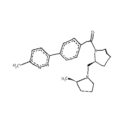 Cc1ccc(-c2ccc(C(=O)N3CCC[C@H]3CN3CCC[C@H]3C)cc2)nn1